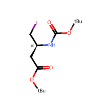 CC(C)(C)OC(=O)C[C@@H](CI)NC(=O)OC(C)(C)C